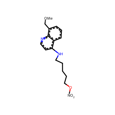 COCc1cccc2c(NCCCCCO[N+](=O)[O-])ccnc12